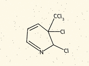 ClC1N=CC=CC1(Cl)C(Cl)(Cl)Cl